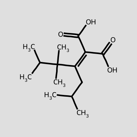 CC(C)CC(=C(C(=O)O)C(=O)O)C(C)(C)C(C)C